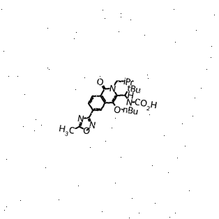 CCCCOc1c(C(NC(=O)O)C(C)(C)C)n(CC(C)C)c(=O)c2ccc(-c3noc(C)n3)cc12